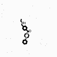 CCNCc1ccc(C(=O)N2CCN(c3ccccc3)CC2)cc1